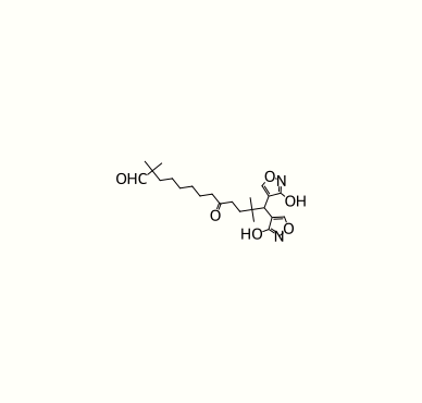 CC(C)(C=O)CCCCCCC(=O)CCC(C)(C)C(c1conc1O)c1conc1O